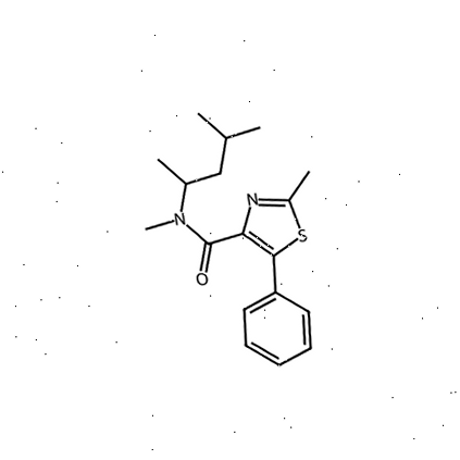 Cc1nc(C(=O)N(C)C(C)CC(C)C)c(-c2ccccc2)s1